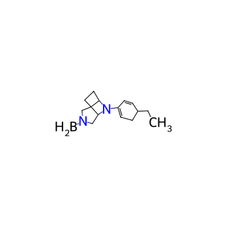 BN1CC2N(C3=CCC(CC)C=C3)C3CCC32C1